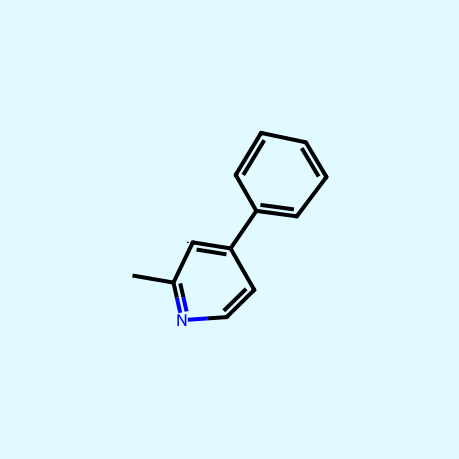 Cc1[c]c(-c2ccccc2)ccn1